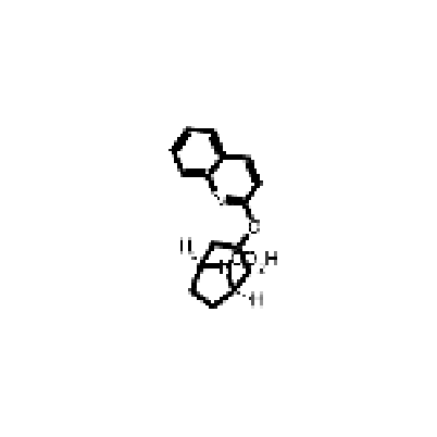 O=C(O)N1[C@@H]2CC[C@H]1CC(Oc1ccc3ccccc3n1)C2